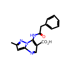 Cc1cc2ncc(C(=O)O)c(NC(=O)Cc3ccccc3)n2n1